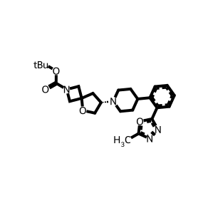 Cc1nnc(-c2ccccc2C2CCN([C@@H]3COC4(C3)CN(C(=O)OC(C)(C)C)C4)CC2)o1